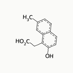 Cc1ccc2ccc(O)c(CC(=O)O)c2c1